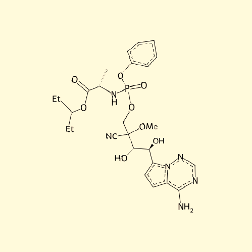 CCC(CC)OC(=O)[C@H](C)NP(=O)(OCC(C#N)(OC)[C@@H](O)[C@@H](O)c1ccc2c(N)ncnn12)Oc1ccccc1